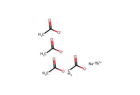 CC(=O)[O-].CC(=O)[O-].CC(=O)[O-].CC(=O)[O-].[Na+].[Tb+3]